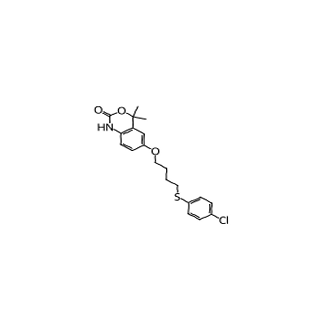 CC1(C)OC(=O)Nc2ccc(OCCCCSc3ccc(Cl)cc3)cc21